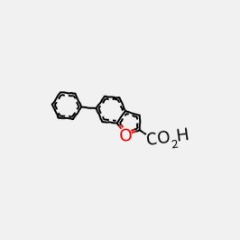 O=C(O)c1cc2ccc(-c3ccccc3)cc2o1